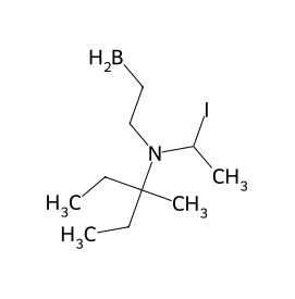 BCCN(C(C)I)C(C)(CC)CC